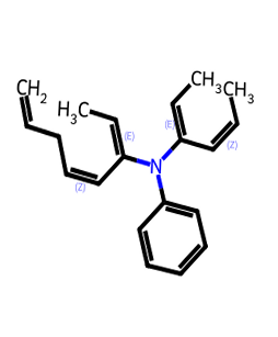 C=CC/C=C\C(=C/C)N(C(/C=C\C)=C/C)c1ccccc1